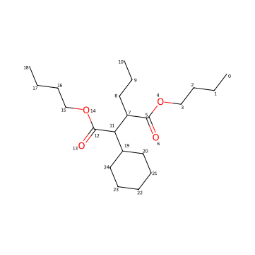 CCCCOC(=O)C(CCC)C(C(=O)OCCCC)C1CCCCC1